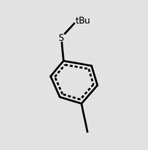 Cc1ccc(SC(C)(C)C)cc1